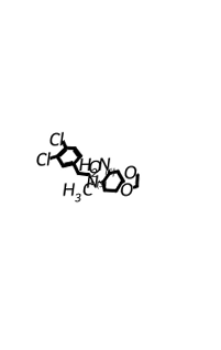 CN(C(=O)Cc1ccc(Cl)c(Cl)c1)[C@H]1CCC2(C[C@@H]1N)OCCO2